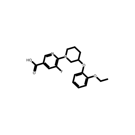 CCOc1ccccc1OC1CCCN(c2ncc(C(=O)O)cc2F)C1